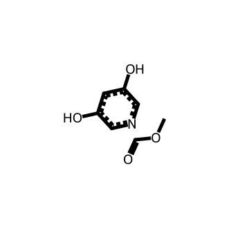 COC=O.Oc1cncc(O)c1